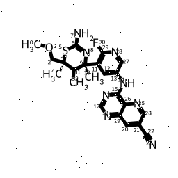 COC[C@@]1(C)SC(N)=N[C@](C)(c2cc(Nc3ncnc4cc(C#N)cnc34)cnc2F)C1C